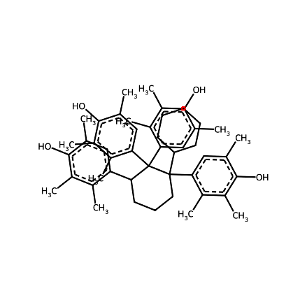 Cc1cc(C2CCCC(c3cc(C)c(O)c(C)c3C)(C3CCCCC3)C2(c2cc(C)c(O)c(C)c2C)c2cc(C)c(O)c(C)c2C)c(C)c(C)c1O